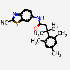 Cc1cc(C)c(C(C)(C)CC(=O)Nc2ccc3nc(C#N)sc3c2)c(C)c1